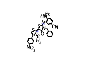 CCNc1ccc(C#N)cc1/N=C1/S/C(=C2\SC=C(c3ccc([N+](=O)[O-])cc3)N2C)C(=O)N1Cc1ccccc1